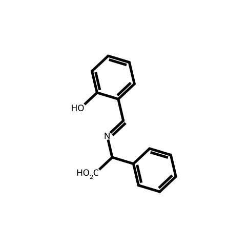 O=C(O)C(N=Cc1ccccc1O)c1ccccc1